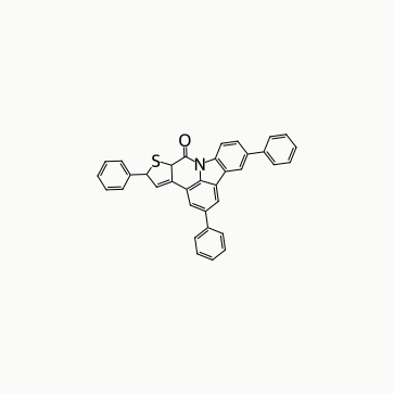 O=C1C2SC(c3ccccc3)C=C2c2cc(-c3ccccc3)cc3c4cc(-c5ccccc5)ccc4n1c23